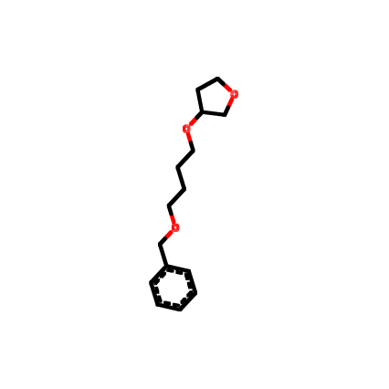 c1ccc(COCCCCOC2CCOC2)cc1